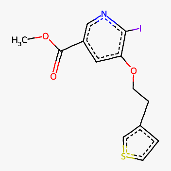 COC(=O)c1cnc(I)c(OCCc2ccsc2)c1